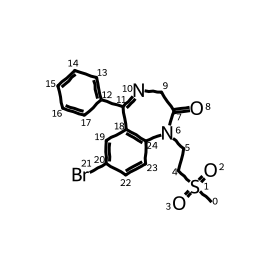 CS(=O)(=O)CCN1C(=O)CN=C(c2ccccc2)c2cc(Br)ccc21